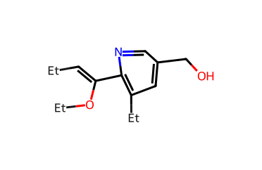 CC/C=C(\OCC)c1ncc(CO)cc1CC